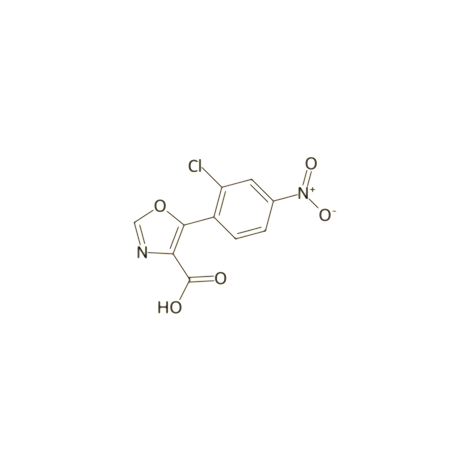 O=C(O)c1ncoc1-c1ccc([N+](=O)[O-])cc1Cl